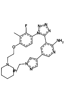 Cc1c(OCCN2CCCCC2)ccc(-n2nnnc2-c2cc(-c3cnn(CC(C)C)c3)cnc2N)c1F